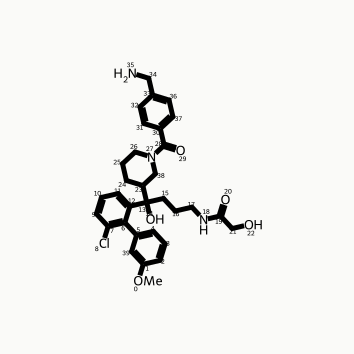 COc1cccc(-c2c(Cl)cccc2C(O)(CCCNC(=O)CO)C2CCCN(C(=O)c3ccc(CN)cc3)C2)c1